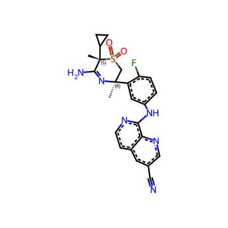 C[C@@]1(c2cc(Nc3nccc4cc(C#N)cnc34)ccc2F)CS(=O)(=O)[C@@](C)(C2CC2)C(N)=N1